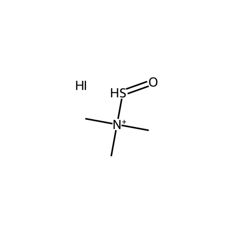 C[N+](C)(C)[SH]=O.I